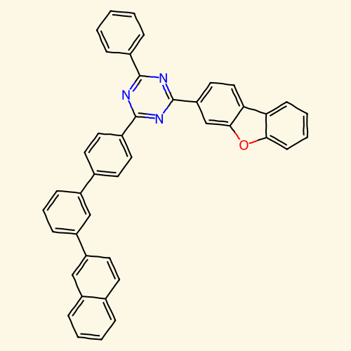 c1ccc(-c2nc(-c3ccc(-c4cccc(-c5ccc6ccccc6c5)c4)cc3)nc(-c3ccc4c(c3)oc3ccccc34)n2)cc1